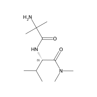 CC(C)[C@H](NC(=O)C(C)(C)N)C(=O)N(C)C